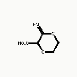 N=C1OCCOC1C(=O)O